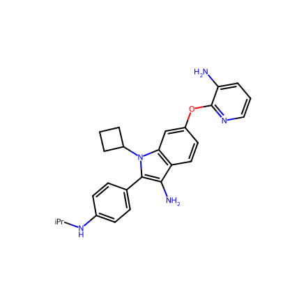 CC(C)Nc1ccc(-c2c(N)c3ccc(Oc4ncccc4N)cc3n2C2CCC2)cc1